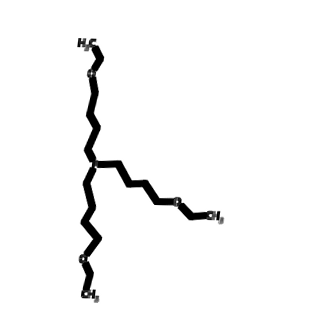 CCOCCCCP(CCCCOCC)CCCCOCC